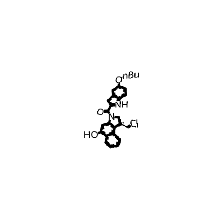 CCCCOc1ccc2[nH]c(C(=O)N3C[C@@H](CCl)c4c3cc(O)c3ccccc43)cc2c1